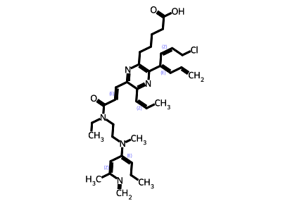 C=C/C=C(\C=C/CCl)c1nc(/C=C\C)c(/C=C/C(=O)N(CC)CCN(C)C(/C=C(/C)N=C)=C/CC)nc1CCCCC(=O)O